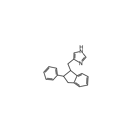 c1ccc(C2Cc3ccccc3C2Cc2c[nH]cn2)cc1